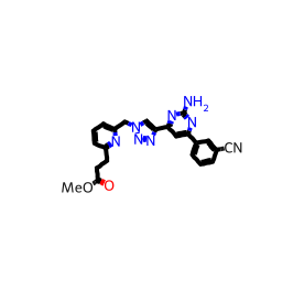 COC(=O)CCc1cccc(Cn2cc(-c3cc(-c4cccc(C#N)c4)nc(N)n3)nn2)n1